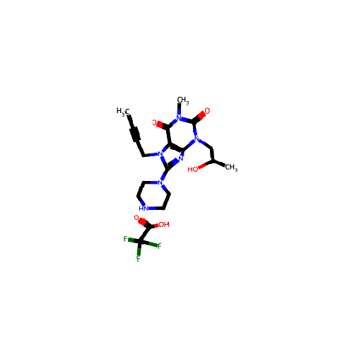 CC#CCn1c(N2CCNCC2)nc2c1c(=O)n(C)c(=O)n2CC(C)O.O=C(O)C(F)(F)F